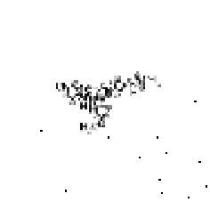 COc1ccc([C@@H]2CN(c3ccc(CNS(C)(=O)=O)cc3)CC[C@H]2NC(=O)Nc2ccc(Cl)cc2)nc1